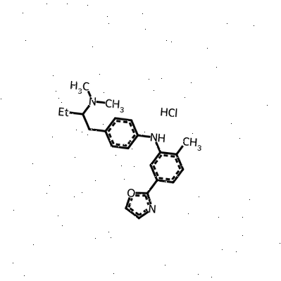 CCC(Cc1ccc(Nc2cc(-c3ncco3)ccc2C)cc1)N(C)C.Cl